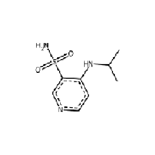 CC(C)Nc1ccncc1S(N)(=O)=O